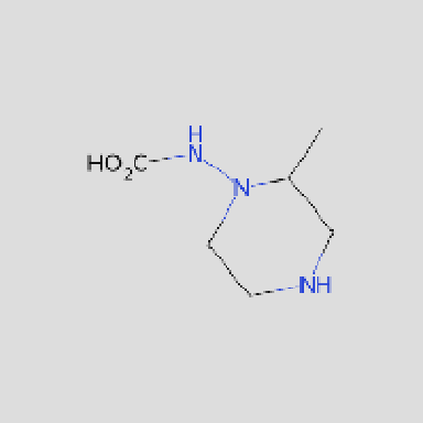 CC1CNCCN1NC(=O)O